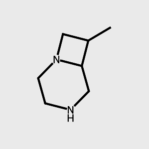 CC1CN2CCNCC12